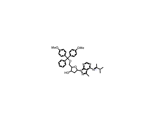 COc1ccc(C(OCC2OC(n3nc(C)c4c(/N=C(\C)N(C)C)ncnc43)CC2O)(c2ccccc2)c2ccc(OC)cc2)cc1